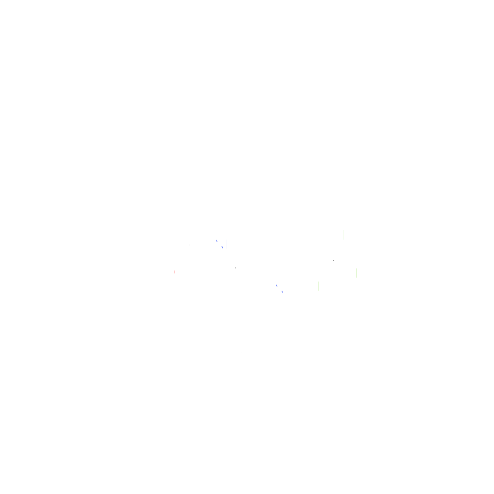 CCc1cccc(C(=O)NC(Cc2ccccc2)(c2cccc(C(F)(F)F)c2)c2ccccn2)c1